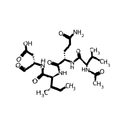 CC[C@H](C)[C@H](NC(=O)[C@H](CCC(N)=O)NC(=O)[C@@H](NC(C)=O)C(C)C)C(=O)N[C@H](C=O)CC(=O)O